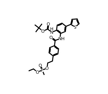 CCOP(C)(=O)OCCc1ccc(C(=O)Nc2cc(-c3cccs3)ccc2NC(=O)OC(C)(C)C)cc1